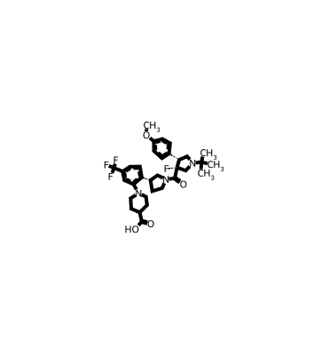 COc1ccc([C@@H]2CN(C(C)(C)C)C[C@@]2(F)C(=O)N2CC[C@H](c3ccc(C(F)(F)F)cc3N3CCC(C(=O)O)CC3)C2)cc1